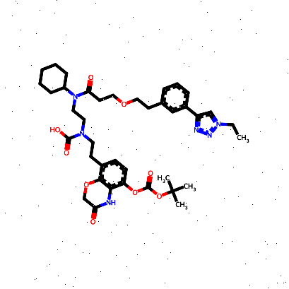 CCn1cc(-c2cccc(CCOCCC(=O)N(CCN(CCc3ccc(OC(=O)OC(C)(C)C)c4c3OCC(=O)N4)C(=O)O)C3CCCCC3)c2)nn1